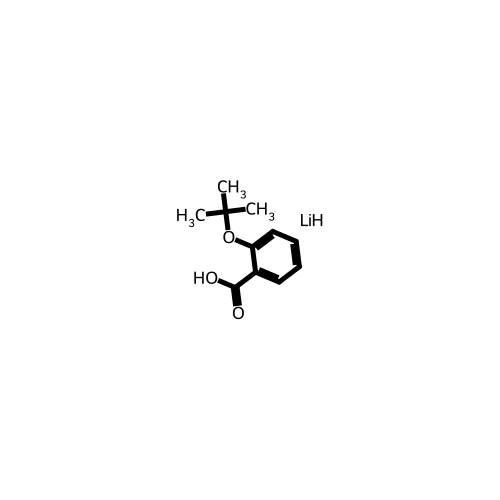 CC(C)(C)Oc1ccccc1C(=O)O.[LiH]